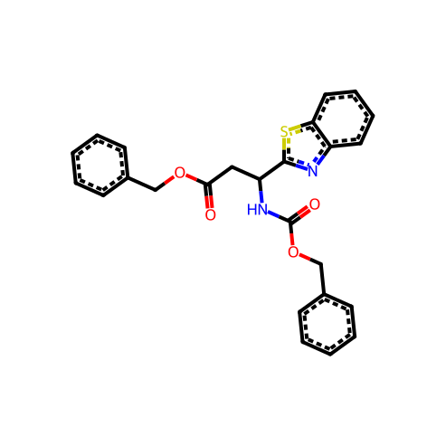 O=C(CC(NC(=O)OCc1ccccc1)c1nc2ccccc2s1)OCc1ccccc1